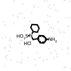 Cl.Nc1ccc(CN(C2CCCCC2)S(=O)(=O)O)cc1